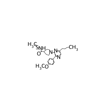 CCCCc1cnc(-c2ccc(OC)cc2)c(N2CCC(C(=O)NSC)CC2)n1